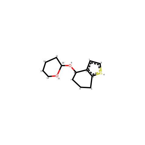 c1cc2c(s1)CCCC2OC1CCCCO1